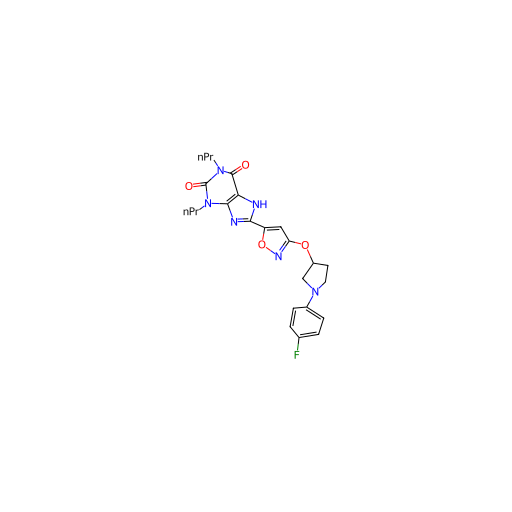 CCCn1c(=O)c2[nH]c(-c3cc(OC4CCN(c5ccc(F)cc5)C4)no3)nc2n(CCC)c1=O